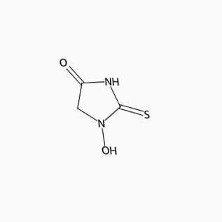 O=C1CN(O)C(=S)N1